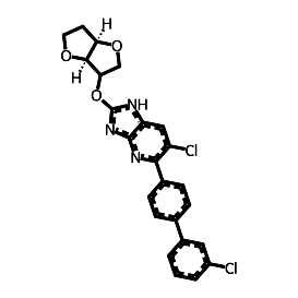 Clc1cccc(-c2ccc(-c3nc4nc(OC5CO[C@@H]6CCO[C@H]56)[nH]c4cc3Cl)cc2)c1